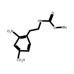 CC(C)(C)OC(=O)NCCc1ccc(C(=O)O)cc1[N+](=O)[O-]